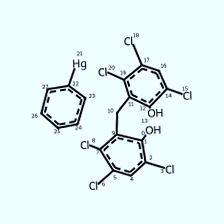 Oc1c(Cl)cc(Cl)c(Cl)c1Cc1c(O)c(Cl)cc(Cl)c1Cl.[Hg][c]1ccccc1